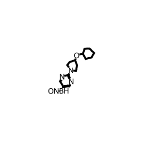 O=NBc1cnc(N2CCC(OC3CCCCC3)CC2)nc1